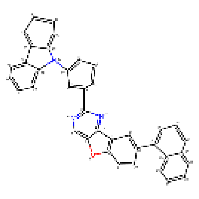 c1cc(-c2ncc3oc4ccc(-c5cccc6ccccc56)cc4c3n2)cc(-n2c3ccccc3c3ccccc32)c1